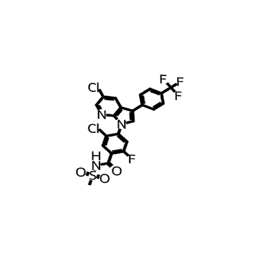 CS(=O)(=O)NC(=O)c1cc(Cl)c(-n2cc(-c3ccc(C(F)(F)F)cc3)c3cc(Cl)cnc32)cc1F